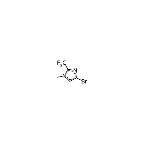 Cn1cc(Br)nc1C(F)(F)F